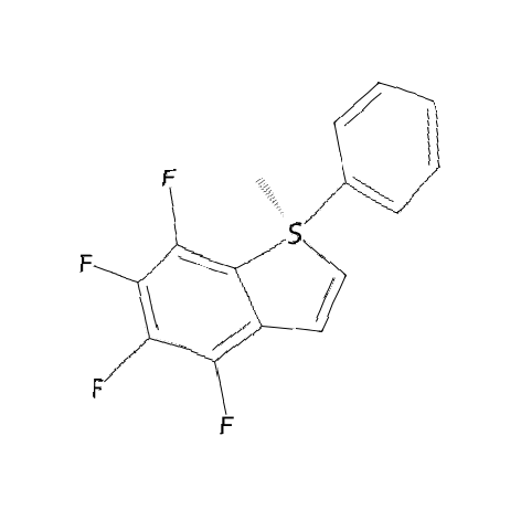 C[S@]1(c2ccccc2)C=Cc2c(F)c(F)c(F)c(F)c21